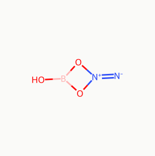 [N-]=[N+]1OB(O)O1